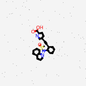 CS(=O)(=Nc1ccccc1C#Cc1ccc(C(=O)O)nc1)c1cccc2cccnc12